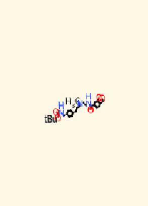 CN(CCCc1ccc(CNC(=O)OC(C)(C)C)cc1)CCNC(=O)c1ccc2c(c1)OOC2